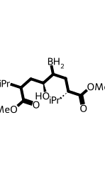 BC(C[C@H](C(=O)OC)C(C)C)[C@@H](O)CC(C(=O)OC)C(C)C